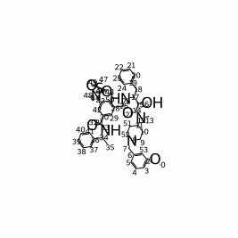 COc1cccc(CN2CCC(N(C)CC(O)C(Cc3ccccc3)NC(=O)c3cc(C(=O)NC(C)c4ccccc4)cc(N(C)S(C)(=O)=O)c3)CC2)c1